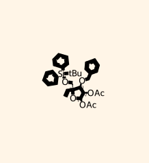 C=C[C@]1(CO[Si](c2ccccc2)(c2ccccc2)C(C)(C)C)O[C@H](OC(C)=O)[C@H](OC(C)=O)[C@@H]1OCc1ccccc1